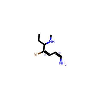 CCC(NC)/C(Br)=C\C=C/N